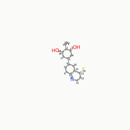 CC(C)c1c(O)cc(-c2ccc3nccc(F)c3c2)cc1O